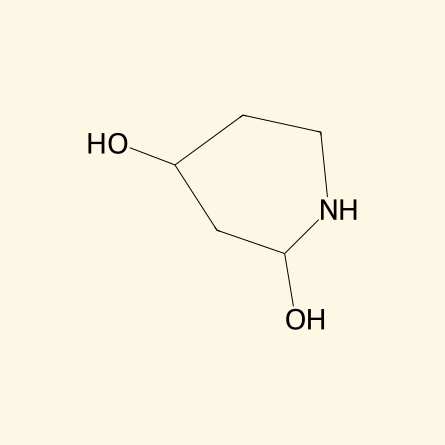 OC1CCNC(O)C1